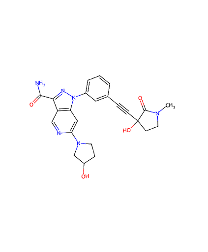 CN1CCC(O)(C#Cc2cccc(-n3nc(C(N)=O)c4cnc(N5CCC(O)C5)cc43)c2)C1=O